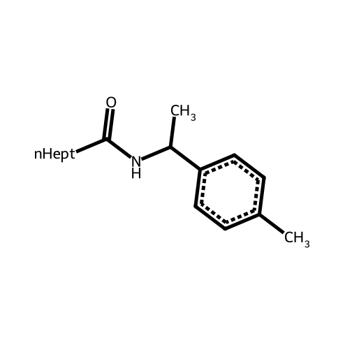 CCCCCCCC(=O)NC(C)c1ccc(C)cc1